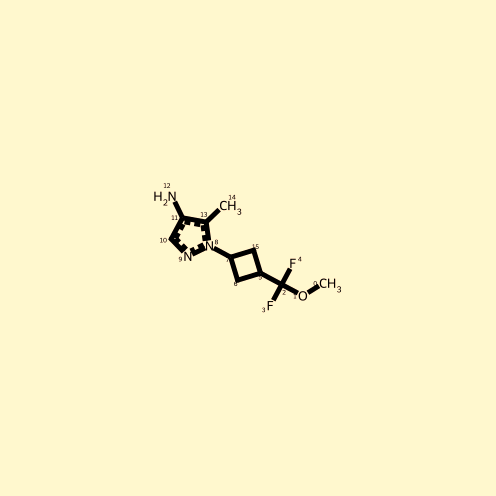 COC(F)(F)C1CC(n2ncc(N)c2C)C1